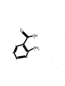 Nc1[c]cccc1C(=O)O